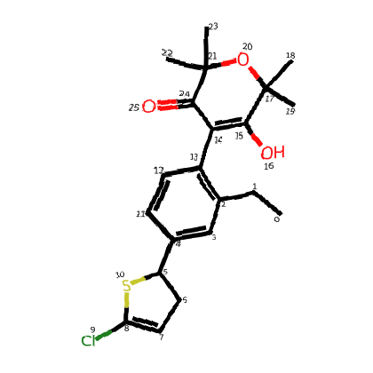 CCc1cc(C2CC=C(Cl)S2)ccc1C1=C(O)C(C)(C)OC(C)(C)C1=O